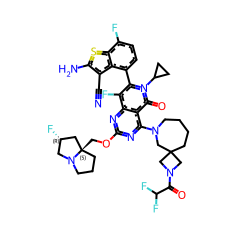 N#Cc1c(N)sc2c(F)ccc(-c3c(F)c4nc(OC[C@@]56CCCN5C[C@H](F)C6)nc(N5CCCCC6(CN(C(=O)C(F)F)C6)C5)c4c(=O)n3C3CC3)c12